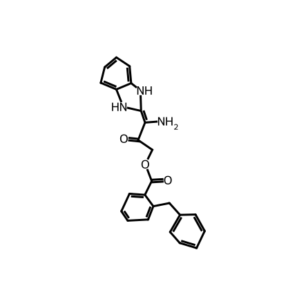 NC(C(=O)COC(=O)c1ccccc1Cc1ccccc1)=C1Nc2ccccc2N1